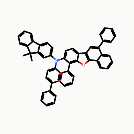 CC1(C)c2ccccc2-c2ccc(N(c3ccc(-c4ccccc4)cc3)c3ccc4c(oc5c6ccccc6c(-c6ccccc6)cc45)c3-c3ccccc3)cc21